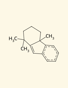 CC1(C)CCCC2(C)C1=Cc1ccccc12